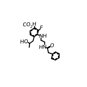 CC(O)Cc1ccc(C(=O)O)c(F)c1NCCNC(=O)Cc1ccccc1